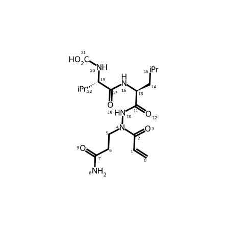 C=CC(=O)N(CCC(N)=O)NC(=O)[C@H](CC(C)C)NC(=O)[C@@H](NC(=O)O)C(C)C